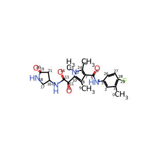 Cc1cc(NC(=O)c2c(C)c(C(=O)C(=O)NC3CNC(=O)C3)n(C)c2C)ccc1F